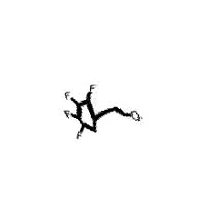 [O]CCc1cc(F)c(F)c(F)c1F